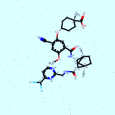 COc1cc(C#N)c(O[C@H]2CC[C@@](C)(C(=O)O)CC2)cc1C(=O)N[C@@H]1[C@H]2CC[C@H](C2)[C@@H]1C(=O)NCc1nccc(C(F)F)n1